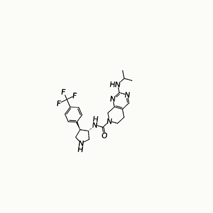 CC(C)Nc1ncc2c(n1)CN(C(=O)N[C@@H]1CNC[C@H]1c1ccc(C(F)(F)F)cc1)CC2